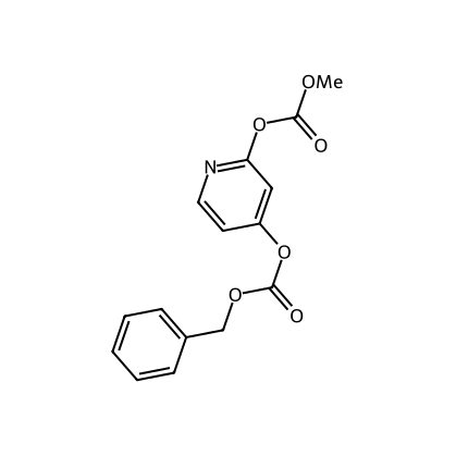 COC(=O)Oc1cc(OC(=O)OCc2ccccc2)ccn1